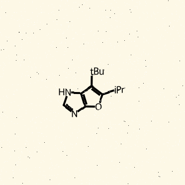 CC(C)c1oc2nc[nH]c2c1C(C)(C)C